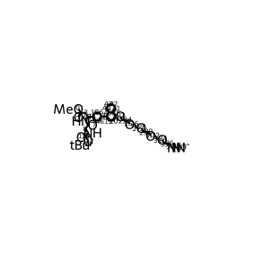 COC(=O)C[C@H](NC(=O)CNC(=O)OC(C)(C)C)c1ccc(-c2ccc(OCCOCCOCCOCCOCCN=[N+]=[N-])c3ccccc23)cc1